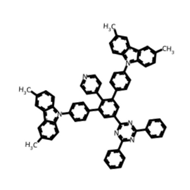 Cc1ccc2c(c1)c1cc(C)ccc1n2-c1ccc(-c2cc(-c3nc(-c4ccccc4)nc(-c4ccccc4)n3)cc(-c3ccc(-n4c5ccc(C)cc5c5cc(C)ccc54)cc3)c2-c2ccncc2)cc1